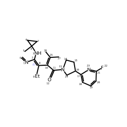 C=N/C(NC1(C)CC1)=C(\CC)C(C(=O)N1CCC(c2cccc(F)n2)C1)=C(C)C